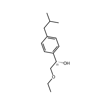 CCOC[C@@H](O)c1ccc(CC(C)C)cc1